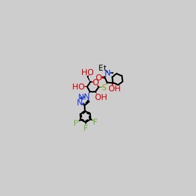 CCN(C)C(=O)C(S[C@@H]1O[C@H](CO)[C@H](O)[C@H](n2cc(-c3cc(F)c(F)c(F)c3)nn2)[C@H]1O)C1(O)CCCCC1